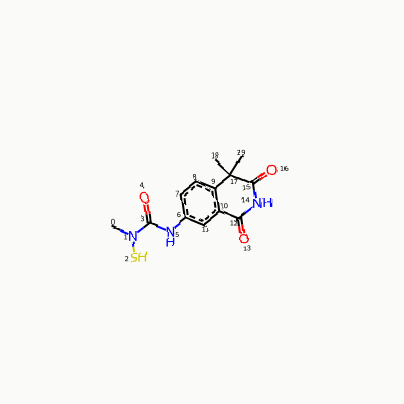 CN(S)C(=O)Nc1ccc2c(c1)C(=O)NC(=O)C2(C)C